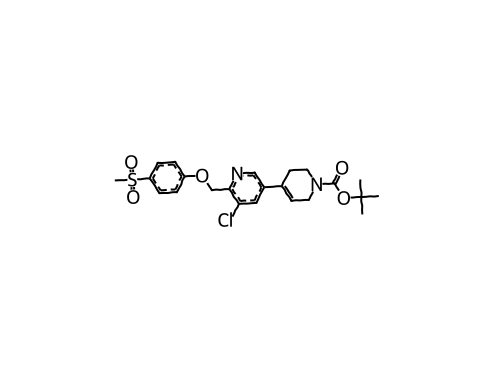 CC(C)(C)OC(=O)N1CC=C(c2cnc(COc3ccc(S(C)(=O)=O)cc3)c(Cl)c2)CC1